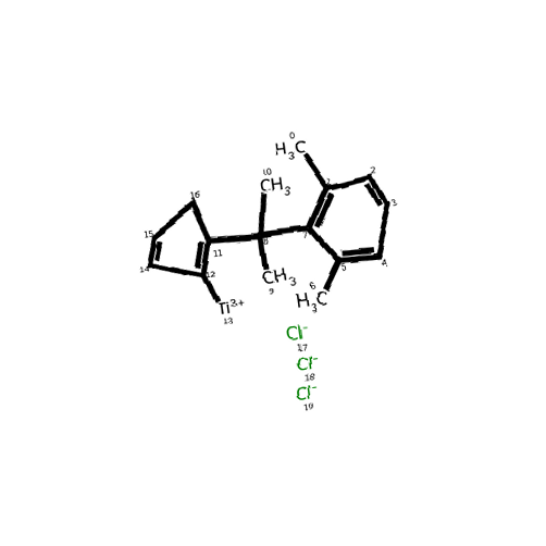 Cc1cccc(C)c1C(C)(C)C1=[C]([Ti+3])C=CC1.[Cl-].[Cl-].[Cl-]